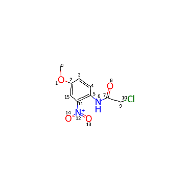 COc1ccc(NC(=O)CCl)c([N+](=O)[O-])c1